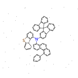 C1=CCC2C(=C1)Sc1cccc(N(c3ccc4c(c3)C3(c5ccccc5-c5ccccc53)c3ccccc3-4)c3cccc4c3ccc3cccc(-c5ccccc5)c34)c12